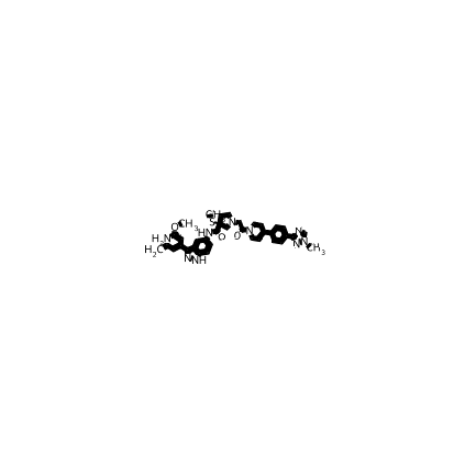 C=C/C=C(\C=C(/N)OC)c1n[nH]c2ccc(NC(=O)[C@]3(SC)CCN(CC(=O)N4CC=C(c5ccc(-c6ncn(C)n6)cc5)CC4)C3)cc12